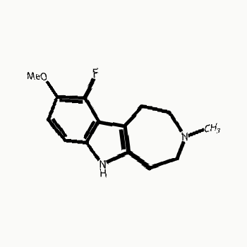 COc1ccc2[nH]c3c(c2c1F)CCN(C)CC3